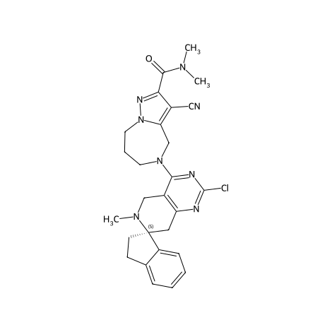 CN(C)C(=O)c1nn2c(c1C#N)CN(c1nc(Cl)nc3c1CN(C)[C@@]1(CCc4ccccc41)C3)CCC2